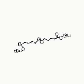 CC(C)(C)OC(=O)CCCCOOCCCCC(=O)OC(C)(C)C